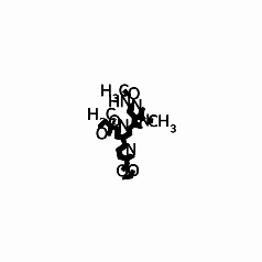 CO[C@]1(c2cc(-c3ccc(C4OCCO4)cn3)cc(-c3cn(C)c4cnc(NC(C)=O)cc34)n2)CCOC1